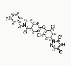 O=C1c2ccc(Oc3c(Cl)cc(-n4ncc(=O)[nH]c4=O)cc3Cl)cc2CCN1Cc1cccc(F)c1